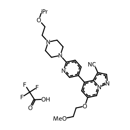 COCCOc1cc(-c2ccc(N3CCN(CCOC(C)C)CC3)nc2)c2c(C#N)cnn2c1.O=C(O)C(F)(F)F